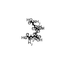 N[C@@H](CCC(=O)[C@](N)(CSSC[C@](N)(C(=O)O)C(=O)CC[C@H](N)C(=O)O)C(=O)O)C(=O)O